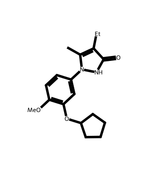 CCc1c(C)n(-c2ccc(OC)c(OC3CCCC3)c2)[nH]c1=O